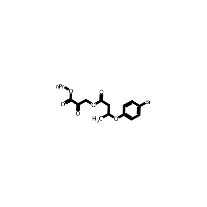 CCCOC(=O)C(=O)COC(=O)CC(C)Oc1ccc(Br)cc1